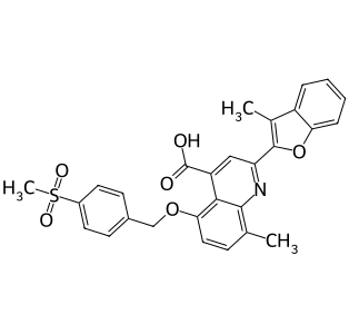 Cc1c(-c2cc(C(=O)O)c3c(OCc4ccc(S(C)(=O)=O)cc4)ccc(C)c3n2)oc2ccccc12